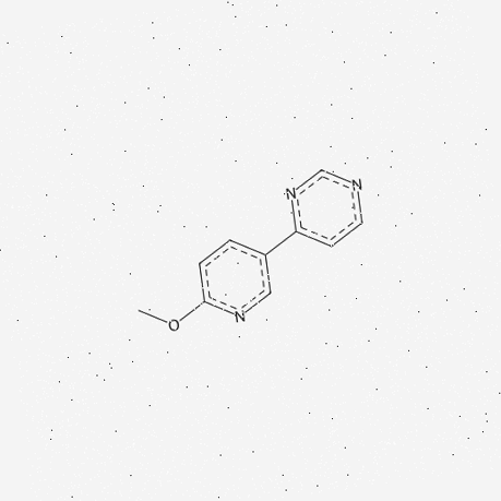 COc1ccc(-c2ccncn2)cn1